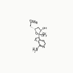 COC[C@@H]1C[C@@](C)(O)[C@](C#N)(c2ccc3c(N)ncnn23)O1